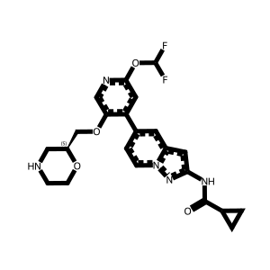 O=C(Nc1cc2cc(-c3cc(OC(F)F)ncc3OC[C@@H]3CNCCO3)ccn2n1)C1CC1